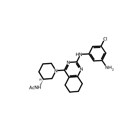 CC(=O)N[C@@H]1CCCN(c2nc(Nc3cc(N)cc(Cl)c3)nc3c2CCCC3)C1